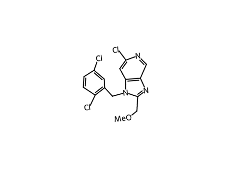 COCc1nc2cnc(Cl)cc2n1Cc1cc(Cl)ccc1Cl